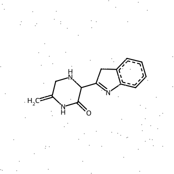 C=C1CNC(C2=Nc3ccccc3C2)C(=O)N1